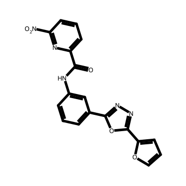 O=C(Nc1cccc(-c2nnc(-c3ccco3)o2)c1)c1cccc([N+](=O)[O-])n1